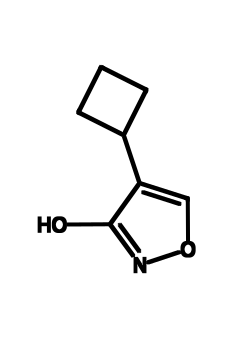 Oc1nocc1C1CCC1